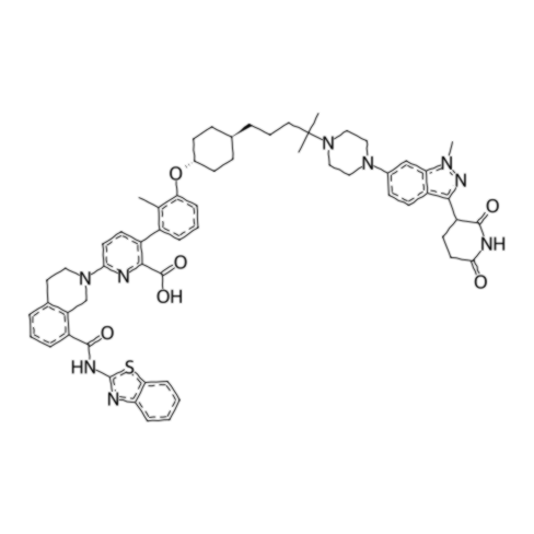 Cc1c(O[C@H]2CC[C@H](CCCC(C)(C)N3CCN(c4ccc5c(C6CCC(=O)NC6=O)nn(C)c5c4)CC3)CC2)cccc1-c1ccc(N2CCc3cccc(C(=O)Nc4nc5ccccc5s4)c3C2)nc1C(=O)O